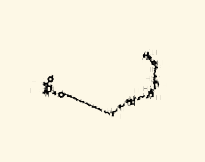 CC1=N[C@@H](CC(=O)Nc2ccc(OCCOCCOCCOCCOCCOCCNCCCN(C)CCCNC(=O)CCNC(=O)c3nc(NC(=O)CCNC(=O)c4cc(NC(=O)c5nc(NC(=O)CCNC(=O)c6cc(NC(=O)c7nccn7C)cn6C)cn5C)cn4C)cn3C)cc2)c2nnc(C)n2-c2sc(C)c(-c3ccc(Cl)cc3)c21